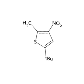 Cc1sc(C(C)(C)C)cc1[N+](=O)[O-]